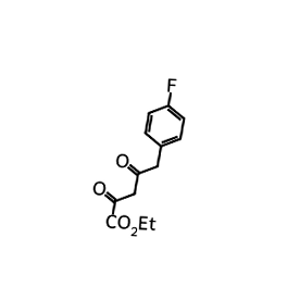 CCOC(=O)C(=O)CC(=O)Cc1ccc(F)cc1